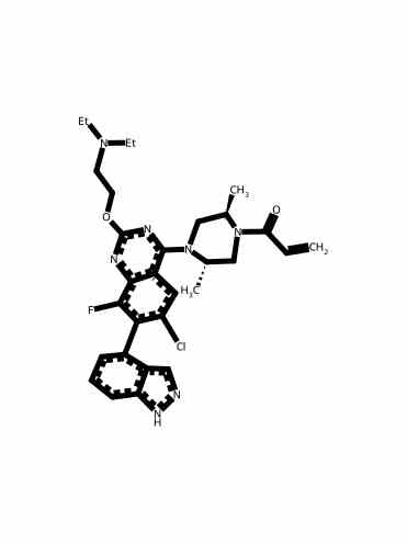 C=CC(=O)N1C[C@H](C)N(c2nc(OCCN(CC)CC)nc3c(F)c(-c4cccc5[nH]ncc45)c(Cl)cc23)C[C@H]1C